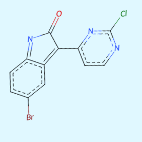 O=C1N=c2ccc(Br)cc2=C1c1ccnc(Cl)n1